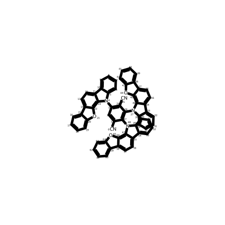 N#Cc1cc(-n2c3ccccc3c3ccc4c5ccccc5oc4c32)c(C#N)c(-n2c3ccccc3c3ccc4c5ccccc5oc4c32)c1-n1c2ccccc2c2ccc3c4ccccc4oc3c21